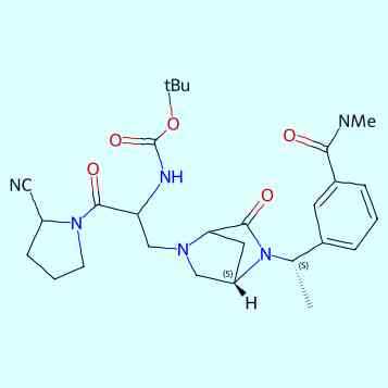 CNC(=O)c1cccc([C@H](C)N2C(=O)C3C[C@H]2CN3CC(NC(=O)OC(C)(C)C)C(=O)N2CCCC2C#N)c1